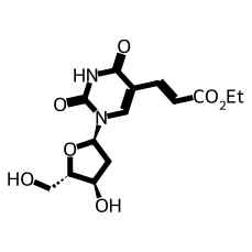 CCOC(=O)C=Cc1cn([C@H]2C[C@@H](O)[C@H](CO)O2)c(=O)[nH]c1=O